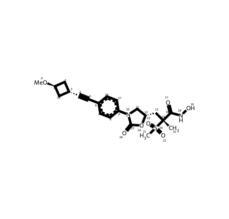 CO[C@H]1C[C@H](C#Cc2ccc(N3C[C@H](C[C@](C)(C(=O)NO)S(C)(=O)=O)OC3=O)cc2)C1